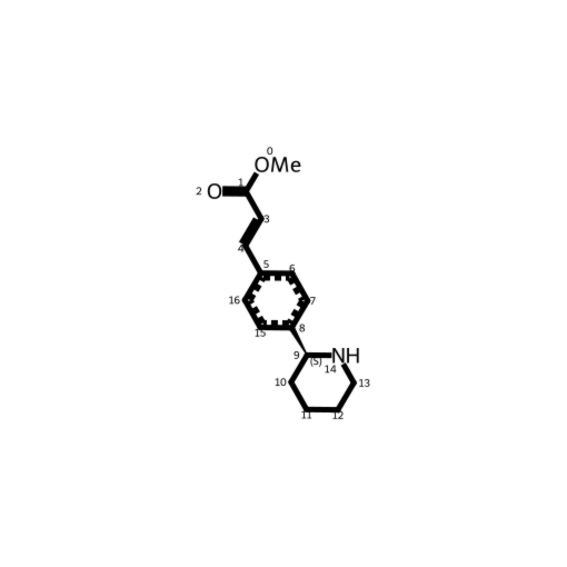 COC(=O)C=Cc1ccc([C@@H]2CCCCN2)cc1